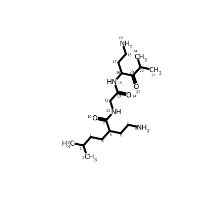 CC(C)CCC(CCN)C(=O)NCC(=O)NC(CCN)C(=O)C(C)C